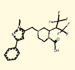 Cn1nc(-c2ccccc2)cc1CN1CCN(C(=O)O)C(C(C(F)(F)F)C(F)(F)F)C1